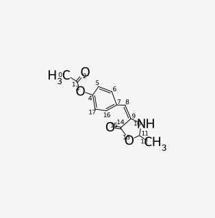 CC(=O)Oc1ccc(/C=C2/NC(C)OC2=O)cc1